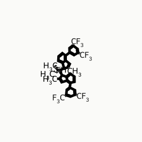 CC1=Cc2c(-c3cc(C(F)(F)F)cc(C(F)(F)F)c3)cccc2[CH]1[Ti]([CH]1C(C)=Cc2c(-c3cc(C(F)(F)F)cc(C(F)(F)F)c3)cccc21)[SiH](C)C